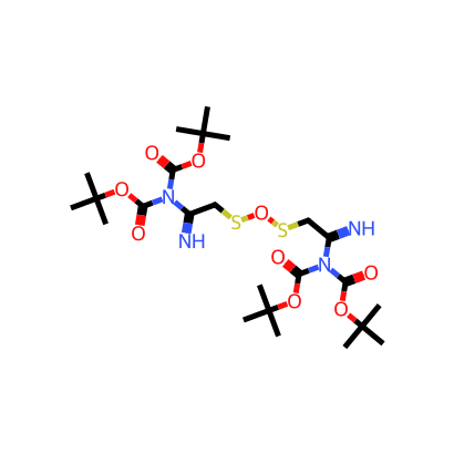 CC(C)(C)OC(=O)N(C(=N)CSOSCC(=N)N(C(=O)OC(C)(C)C)C(=O)OC(C)(C)C)C(=O)OC(C)(C)C